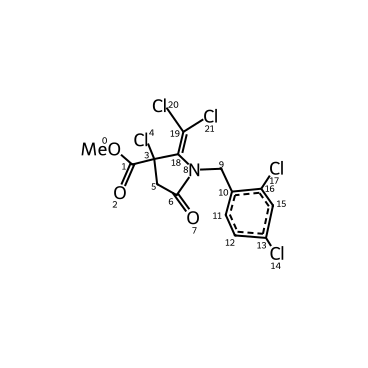 COC(=O)C1(Cl)CC(=O)N(Cc2ccc(Cl)cc2Cl)C1=C(Cl)Cl